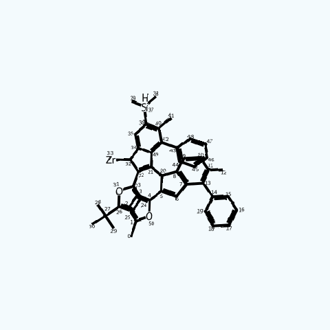 Cc1ccc(C2=Cc3c(ccc(C)c3-c3ccccc3)C2C2=C(c3ccc(C(C)(C)C)o3)[CH]([Zr])c3cc([SiH](C)C)c(C)c(-c4ccccc4)c32)o1